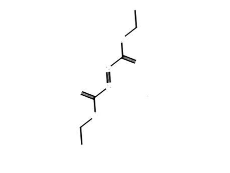 CCOC(=O)N=NC(=O)OCC.[Br-].[K+]